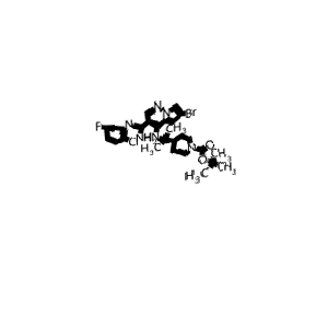 CC(C)(C)OC(=O)N1CCC(C(C)(C)Nc2c(/C(N)=N/c3cc(F)ccc3Cl)cnn3cc(Br)cc23)CC1